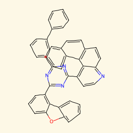 c1ccc(-c2cccc(-c3nc(-c4cccc5oc6ccccc6c45)nc(-c4ccnc5ccc6ccc7ccccc7c6c45)n3)c2)cc1